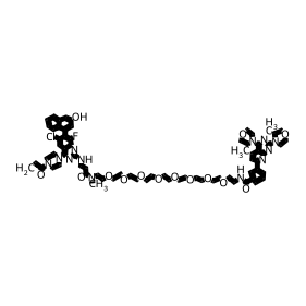 C=CC(=O)N1CCN(c2nc(NCCC(=O)N(C)CCOCCOCCOCCOCCOCCOCCOCCOCCNC(=O)c3cccc(-c4ccc5c(N6CCOC[C@H]6C)nc(N6CCOC[C@H]6C)nc5n4)c3)nc3c(F)c(-c4cc(O)cc5ccccc45)c(Cl)cc23)CC1